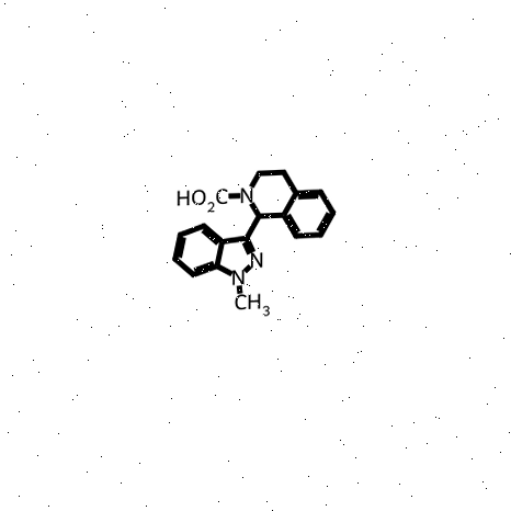 Cn1nc(C2c3ccccc3CCN2C(=O)O)c2ccccc21